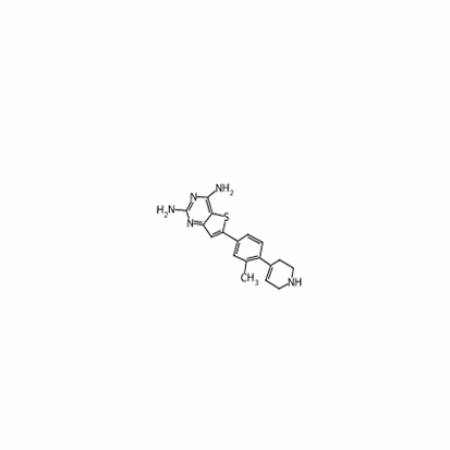 Cc1cc(-c2cc3nc(N)nc(N)c3s2)ccc1C1=CCNCC1